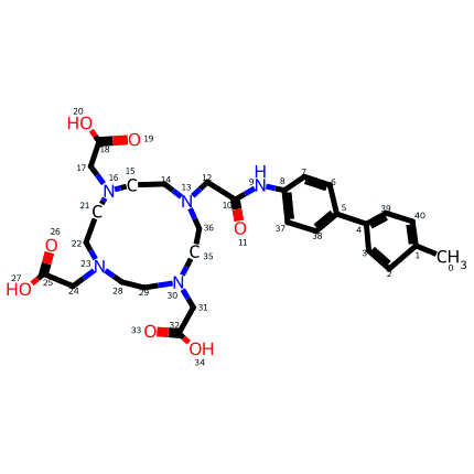 Cc1ccc(-c2ccc(NC(=O)CN3CCN(CC(=O)O)CCN(CC(=O)O)CCN(CC(=O)O)CC3)cc2)cc1